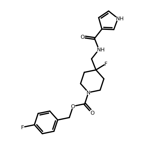 O=C(NCC1(F)CCN(C(=O)OCc2ccc(F)cc2)CC1)c1cc[nH]c1